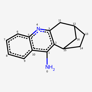 Nc1c2c(nc3ccccc13)CC1CCC2C1